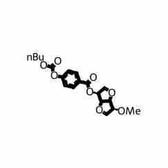 CCCCOC(=O)Oc1ccc(C(=O)O[C@H]2COC3C2OC[C@@H]3OC)cc1